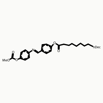 CCCCCCCCCCCCCCCCCC(=O)Oc1ccc(C=Nc2ccc(OC(=O)OC)cc2)cc1